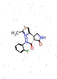 Cc1nc([C@H]2CNC(=O)[C@@H]2C(=O)Nc2ccccc2F)cs1